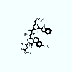 COC(=O)C[C@@H](C#N)NC(=O)[C@@H]1c2ccc(C)cc2CCN1C(=O)[C@@H](NC(=O)[C@H](CCCC(=O)O)NC(=O)C1Cc2ccccc2N1)C(C)C